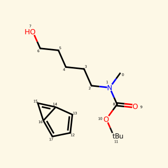 CN(CCCCCO)C(=O)OC(C)(C)C.c1cc2cc-2c1